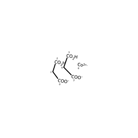 O=C([O-])CC(=O)O.O=C([O-])CC(=O)O.[Co+2]